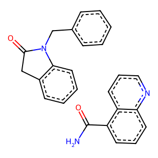 NC(=O)c1cccc2ncccc12.O=C1Cc2ccccc2N1Cc1ccccc1